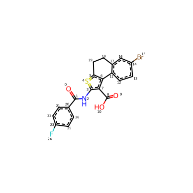 O=C(Nc1sc2c(c1C(=O)O)-c1ccc(Br)cc1CC2)c1ccc(F)cc1